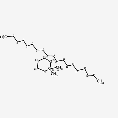 CCCCCCCCCCCCCCCCCCC.C[Si]1(C)CCCCO1